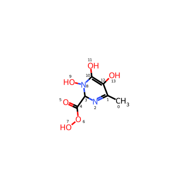 CC1=NC(C(=O)OO)N(O)C(O)=C1O